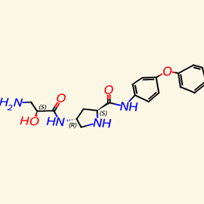 NC[C@H](O)C(=O)N[C@H]1CN[C@H](C(=O)Nc2ccc(Oc3ccccc3)cc2)C1